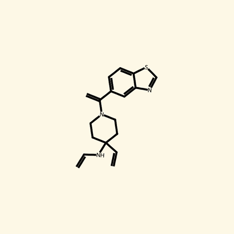 C=CNC1(C=C)CCN(C(=C)c2ccc3scnc3c2)CC1